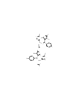 COC(=O)C[C@@H]1N=C(c2ccc(Cl)cc2)c2c(sc(BC(=O)C[C@@H]3N=C(c4ccc(Cl)cc4)c4c(sc(C)c4C)-n4c(C)nnc43)c2C)-n2c(C)nnc21